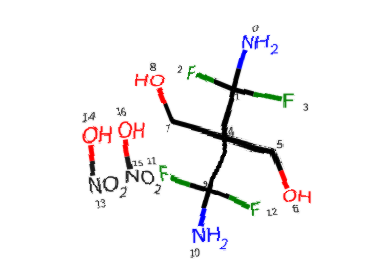 NC(F)(F)C(CO)(CO)C(N)(F)F.O=[N+]([O-])O.O=[N+]([O-])O